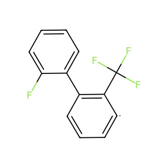 Fc1ccccc1-c1ccc[c]c1C(F)(F)F